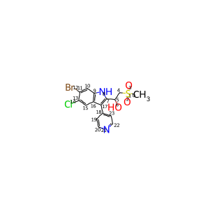 CS(=O)(=O)CC(O)c1[nH]c2cc(Br)c(Cl)cc2c1-c1ccncc1